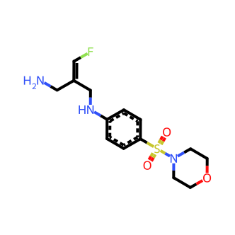 NC/C(=C/F)CNc1ccc(S(=O)(=O)N2CCOCC2)cc1